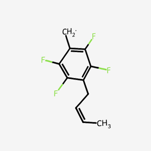 [CH2]c1c(F)c(F)c(C/C=C\C)c(F)c1F